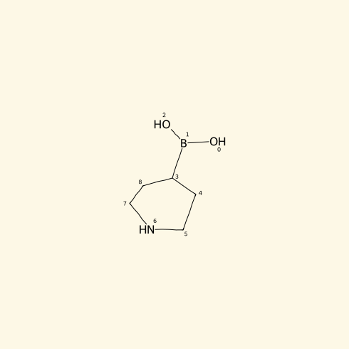 OB(O)C1CCNCC1